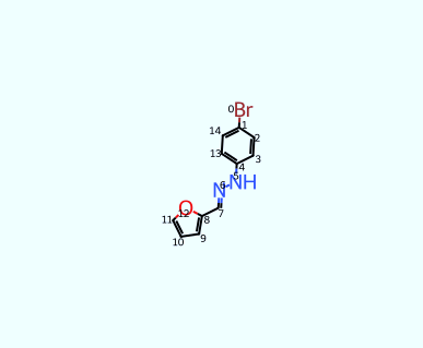 Brc1ccc(NN=Cc2ccco2)cc1